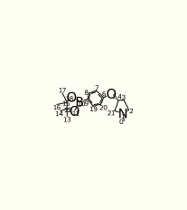 CN1CCC(Oc2ccc(B3OC(C)(C)C(C)(C)O3)cc2)C1